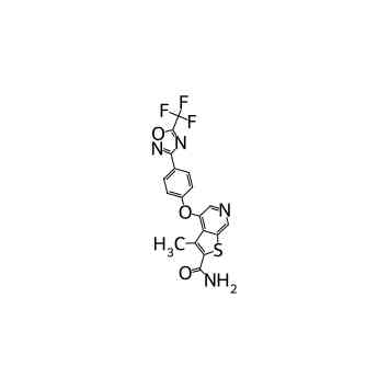 Cc1c(C(N)=O)sc2cncc(Oc3ccc(-c4noc(C(F)(F)F)n4)cc3)c12